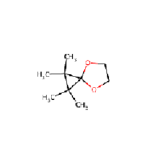 CC1(C)C(C)(C)C12OCCO2